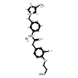 CCCCCCCCCCCCOc1ccc(CC(=O)Nc2cccc(C[n+]3csc(C)c3)c2)cc1F.[Br-]